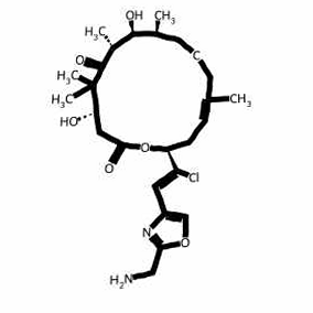 C/C1=C/C[C@@H](C(Cl)=Cc2coc(CN)n2)OC(=O)C[C@H](O)C(C)(C)C(=O)[C@H](C)[C@@H](O)[C@@H](C)CCC1